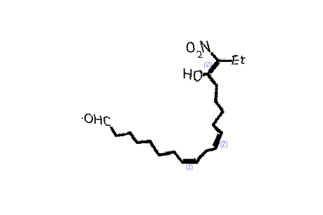 CC/C(=C(/O)CCCC/C=C\C/C=C\CCCCCC[C]=O)[N+](=O)[O-]